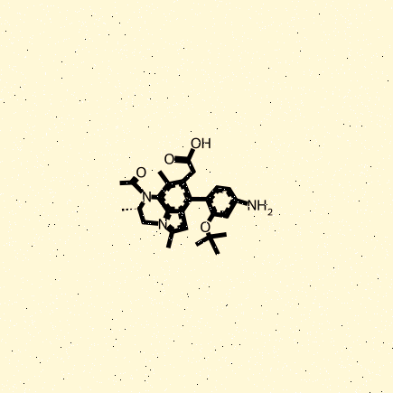 CC(=O)N1c2c(C)c(CC(=O)O)c(-c3ccc(N)cc3OC(C)(C)C)c3cc(C)n(c23)C[C@@H]1C